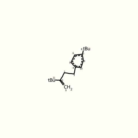 C=C(CCc1ccc(C(C)(C)C)cc1)C(C)(C)C